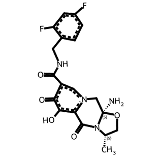 C[C@H]1CO[C@]2(N)Cn3cc(C(=O)NCc4ccc(F)cc4F)c(=O)c(O)c3C(=O)N12